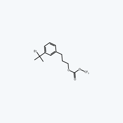 CCC(C)(C)c1cccc(CCCOC(=O)OC(F)(F)F)c1